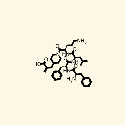 C=C(CC1CCN(C(=O)[C@@H](CCCN)NC(=O)[C@@H](CC(C)C)NC(=O)[C@@H](Cc2ccccc2)NC(=O)[C@H](N)Cc2ccccc2)CC1)C(=O)O